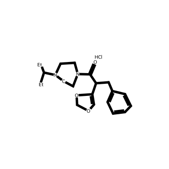 CCC(CC)N1CCN(C(=O)C(Cc2ccccc2)C2=COCO2)CC1.Cl